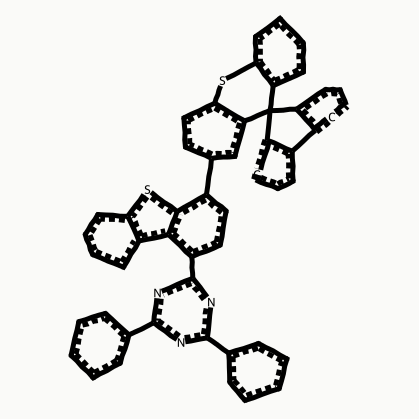 c1ccc(-c2nc(-c3ccccc3)nc(-c3ccc(-c4ccc5c(c4)C4(c6ccccc6S5)c5ccccc5-c5ccccc54)c4sc5ccccc5c34)n2)cc1